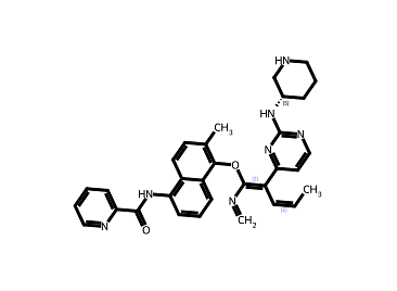 C=N/C(Oc1c(C)ccc2c(NC(=O)c3ccccn3)cccc12)=C(\C=C/C)c1ccnc(N[C@H]2CCCNC2)n1